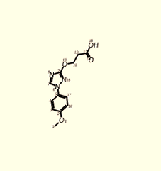 COc1ccc(-n2cnc(OCCC(=O)O)n2)cc1